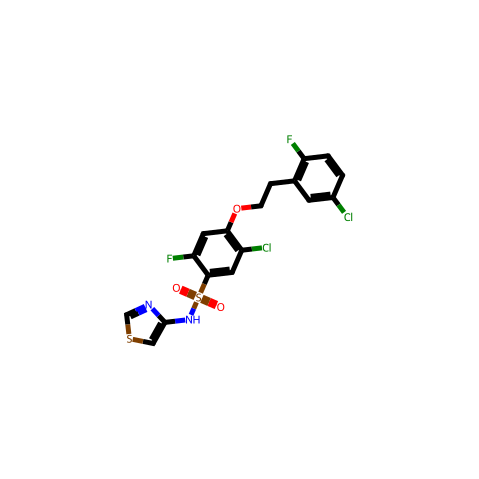 O=S(=O)(Nc1cscn1)c1cc(Cl)c(OCCc2cc(Cl)ccc2F)cc1F